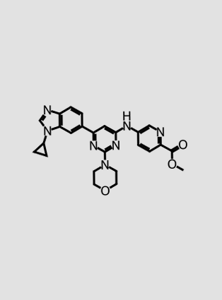 COC(=O)c1ccc(Nc2cc(-c3ccc4ncn(C5CC5)c4c3)nc(N3CCOCC3)n2)cn1